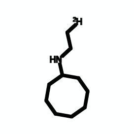 [2H]CCNC1CCCCCCC1